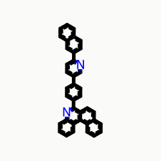 c1ccc2cc(-c3ccc(-c4ccc(-c5nc6ccccc6c6c5ccc5ccccc56)cc4)cn3)ccc2c1